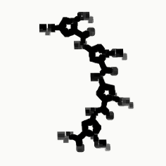 Cn1cc(NC(=O)c2cc(NC(=O)c3cc(NC(=O)c4cc(N)cn4C)cn3C)cn2C)cc1C(N)=O